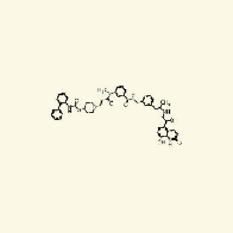 CC(Cc1cccc(CNC(=O)c2cccc(N(C)C(=O)CCN3CCC(OC(=O)Nc4ccccc4-c4ccccc4)CC3)c2)c1)NCC(O)c1ccc(O)c2[nH]c(=O)ccc12